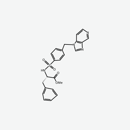 COC(=O)[C@H](Cc1ccccc1)NS(=O)(=O)c1ccc(Cn2cnc3cnccc32)cc1